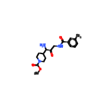 CC(C)(C)OC(=O)N1CCC(C(N)C(=O)CNC(=O)c2cccc(C(F)(F)F)c2)CC1